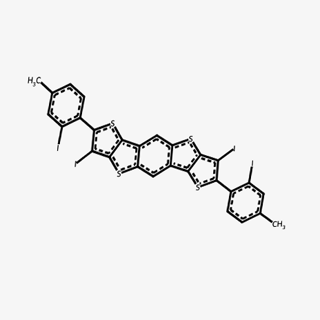 Cc1ccc(-c2sc3c(sc4cc5c(cc43)sc3c(I)c(-c4ccc(C)cc4I)sc35)c2I)c(I)c1